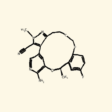 C[C@H]1Oc2cc(cnc2N)-c2c(nn(C)c2C#N)CCCCOc2ccc(F)cc21